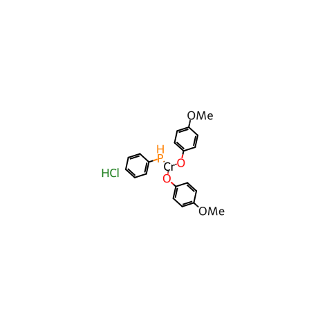 COc1ccc([O][Cr]([O]c2ccc(OC)cc2)[PH]c2ccccc2)cc1.Cl